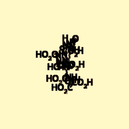 O=C(O)CC[C@H](NC(=O)N[C@@H](CCCCNC(=O)CCCCCCCNc1nc(Nc2ccc(CC3CN(CC(=O)O)CCN(CC(=O)O)CCN(CC(O)O)CCN3CC(=O)O)cc2)nc(N2CCOCC2)n1)C(=O)O)C(=O)O